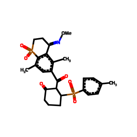 CON=C1CCS(=O)(=O)c2c(C)cc(C(=O)C3C(=O)CCCC3S(=O)(=O)c3ccc(C)cc3)c(C)c21